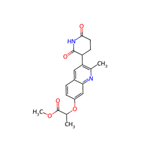 COC(=O)C(C)Oc1ccc2cc(C3CCC(=O)NC3=O)c(C)nc2c1